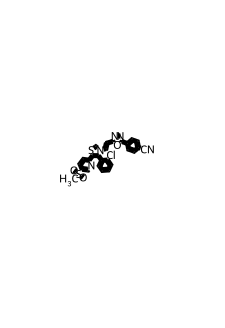 CS(=O)(=O)c1ccc(C2SCN(/C=C/c3nnc(-c4ccc(C#N)cc4)o3)C2c2ccccc2Cl)nc1